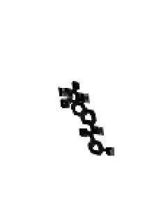 O=C1NC(=O)C2(CCc3cc(NC(=O)c4cccc(Cl)c4)ccc3C2)N1